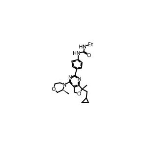 CCNC(=O)Nc1ccc(-c2nc(N3CCOC[C@@H]3C)c3c(n2)C(C)(CC2CC2)OC3)cc1